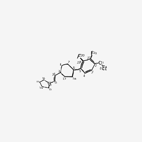 CCOc1ccc(C2CCC(/C=C/N3CCCC3)CC2)c(F)c1F